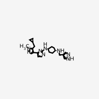 Cn1ncc(-c2ccnc(N[C@H]3CC[C@@H](NCc4cn[nH]c4)CC3)n2)c1CC1CC1